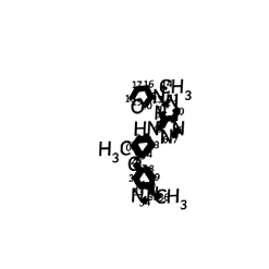 Cc1cc(Nc2ncnc3cnc(N(C)[C@@H]4CCCOC4)nc23)ccc1Oc1ccc2c(c1)ncn2C